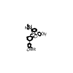 COc1ccc([C@H]2CC[C@H](CN(c3cccc(-n4cnc(C)n4)c3)C(=O)[C@H]3CC[C@H](O)CC3)CC2)cc1C